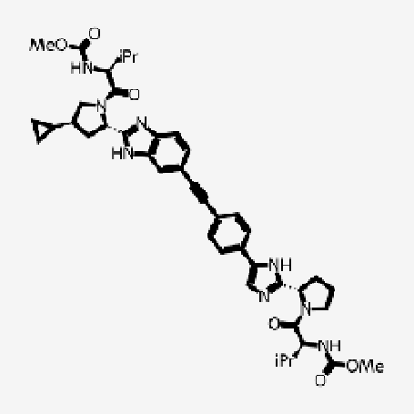 COC(=O)N[C@H](C(=O)N1CCC[C@H]1c1ncc(-c2ccc(C#Cc3ccc4nc([C@@H]5C[C@@H](C6CC6)CN5C(=O)[C@@H](NC(=O)OC)C(C)C)[nH]c4c3)cc2)[nH]1)C(C)C